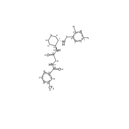 Cc1ccc(CN[C@H]2CCCC[C@@H]2NC(=O)CNC(=O)c2cccc(C(F)(F)F)c2)c(C)c1